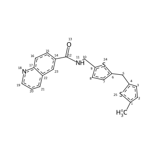 Cc1ccc(Cc2ccc(CNC(=O)c3ccc4ncccc4c3)s2)s1